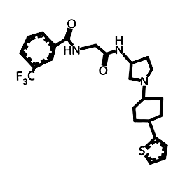 O=C(CNC(=O)c1cccc(C(F)(F)F)c1)NC1CCN(C2CCC(c3cccs3)CC2)C1